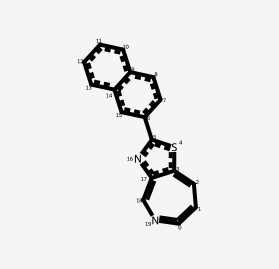 C1=CC=c2sc(-c3ccc4ccccc4c3)nc2=CN=1